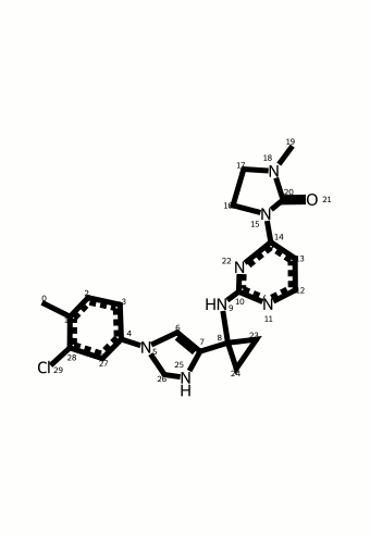 Cc1ccc(N2C=C(C3(Nc4nccc(N5CCN(C)C5=O)n4)CC3)NC2)cc1Cl